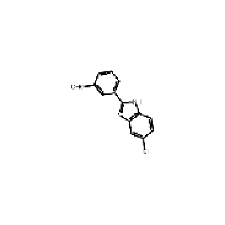 O=Cc1cccc(-c2nc3cc(Cl)ccc3[nH]2)c1